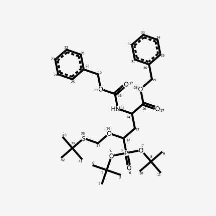 CC(C)(C)OP(=O)(OC(C)(C)C)C(CC(NC(=O)OCc1ccccc1)C(=O)OCc1ccccc1)OCSC(C)(C)C